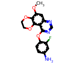 COc1cc2ncnc(Oc3ccc(N)cc3F)c2c2c1OCCO2